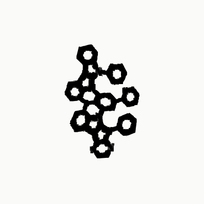 c1ccc(-n2c3ccccc3c3c4cccc5c4n(c32)-c2cc(-c3ccccn3)cc3c2B5c2cccc4c5c6nccnc6n(-c6ccccc6)c5n-3c24)cc1